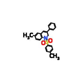 Cc1ccc(S(=O)(=O)N2CC(c3ccccc3)=Cc3cc(C)ccc32)cc1